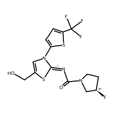 O=C(/N=c1\sc(CO)cn1-c1ccc(C(F)(F)F)s1)N1CC[C@@H](F)C1